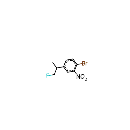 C[C](CF)c1ccc(Br)c([N+](=O)[O-])c1